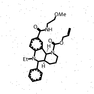 C=CCOC(=O)N1CCC[C@H]2C(c3ccccc3)N(CC)c3ccc(C(=O)NCCOC)cc3[C@H]21